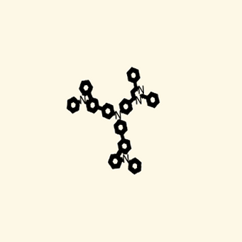 c1ccc(-c2cc(-c3ccc(N(c4ccc(-c5ccc6c(c5)c5ccccc5n6-c5ccccc5)cc4)c4ccc(-c5ccc6c(c5)c5ccccc5n6-c5ccccc5)cc4)cc3)nc(-c3ccccc3)n2)cc1